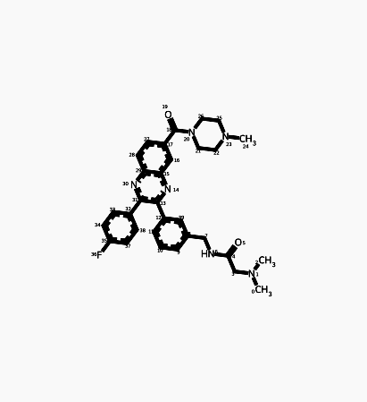 CN(C)CC(=O)NCc1cccc(-c2nc3cc(C(=O)N4CCN(C)CC4)ccc3nc2-c2ccc(F)cc2)c1